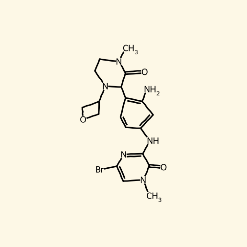 CN1CCN(C2COC2)C(c2ccc(Nc3nc(Br)cn(C)c3=O)cc2N)C1=O